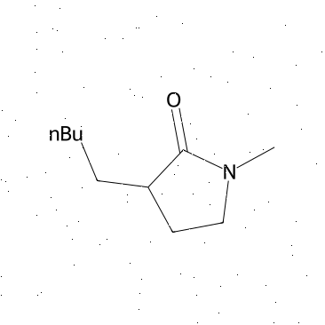 CCCCCC1CCN(C)C1=O